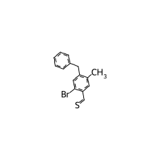 Cc1cc(C=S)c(Br)cc1Cc1ccccc1